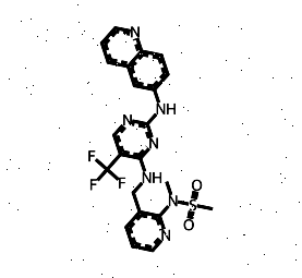 CN(c1ncccc1CNc1nc(Nc2ccc3ncccc3c2)ncc1C(F)(F)F)S(C)(=O)=O